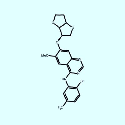 COc1cc2c(Nc3cc(C(F)(F)F)ccc3Br)ncnc2cc1O[C@@H]1COC2CCOC21